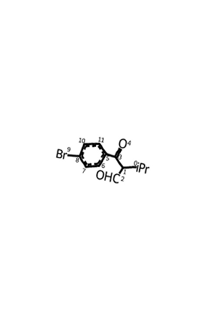 CC(C)C(C=O)C(=O)c1ccc(Br)cc1